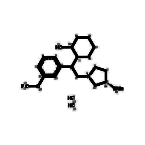 CN[C@H]1CCN(CC(c2cccc(OC(F)(F)F)c2)C2CCCCC2O)C1.Cl.Cl